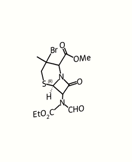 CCOC(=O)N(C=O)C1C(=O)N2C(C(=O)OC)C(C)(Br)CS[C@H]12